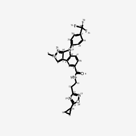 Cn1cc2c3cc(C(=O)NCCc4noc(C5CC5)n4)ccc3n(-c3ccc(C(F)(F)F)cc3)c2n1